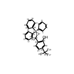 O=C(OS(c1ccccc1)(c1ccccc1)c1ccccc1)c1ccc(C(F)(F)F)cc1O